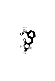 O=C1NC(=O)/C(=C\c2cccc([N+](=O)[O-])c2)N1